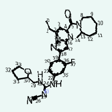 CCc1cc(C(=O)N2CCCCCC2C)nc2cc(-c3ccc(N/C(=N/C#N)NCC4CCCO4)cc3F)nn12